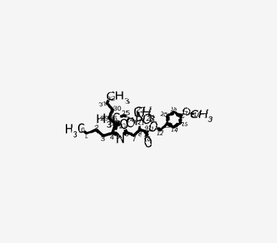 CCCCc1nc(CC(C(=O)OCc2ccc(OC)cc2)P(C)(=O)OCC)oc1CCCC